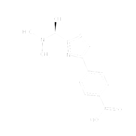 C[C@@H](c1nc(-c2ccc(C(=O)O)cc2)cs1)N(C)C